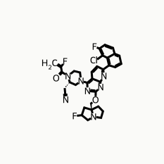 C=C(F)C(=O)N1CCN(c2nc(OC[C@@]34CCCN3CC(F)C4)nc3nc(-c4cccc5ccc(F)c(Cl)c45)ccc23)C[C@@H]1CC#N